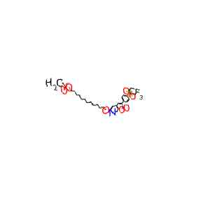 C=CC(=O)OCCCCCCCCCCCCOc1cc2cc(-c3ccc(S(=O)(=O)C(F)(F)F)cc3)c(=O)oc2cn1